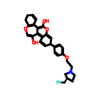 OC1=COC2=C(C=CCC2)C2=C(O)OC3=CC(c4ccc(OCCN5CC[C@@H](CF)C5)cc4)C=CC3=C12